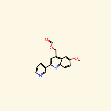 COc1ccc2nc(-c3cccnc3)cc(COC=O)c2c1